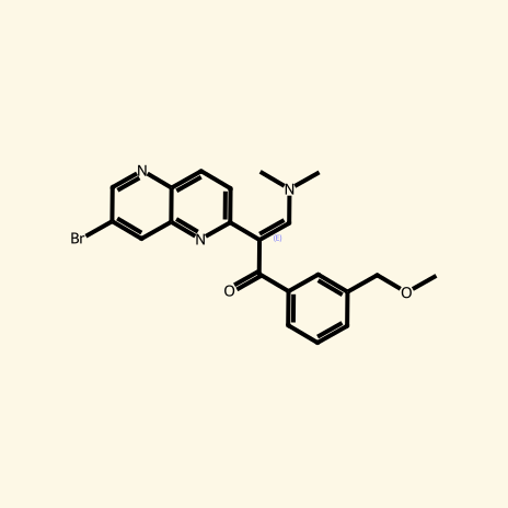 COCc1cccc(C(=O)/C(=C/N(C)C)c2ccc3ncc(Br)cc3n2)c1